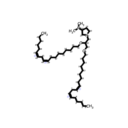 CCCCC/C=C\C/C=C\CCCCCCCCOCC(CN1CCC(N(C)C)C1)OCCCCCCCC/C=C\C/C=C\CCCCC